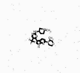 C[C@H]1CCC(Nc2ncc(C(F)(F)F)c(-c3c[nH]c4nc(N5CCOC[C@@H]5C)ccc34)n2)CN1